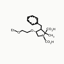 CCOCCO[C@H]1CN(C(=O)O)[C@](C)(C(=O)O)C1Cc1ccccc1